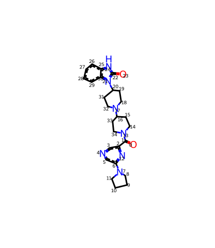 O=C(c1cncc(N2CCCC2)n1)N1CCC(N2CCC(n3c(=O)[nH]c4ccccc43)CC2)CC1